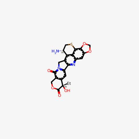 CC[C@@]1(O)C(=O)OCc2c1cc1n(c2=O)Cc2c-1nc1cc3c(c4c1c2[C@H](N)CS4)OCO3